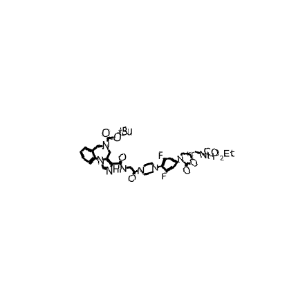 CCOC(=O)NC[C@H]1CN(c2cc(F)c(N3CCN(C(=O)CNC(=O)c4ncn5c4CN(C(=O)OC(C)(C)C)Cc4ccccc4-5)CC3)c(F)c2)C(=O)O1